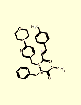 COC(=O)[C@H](Cc1ccccc1)N(Cc1ccc(N2CCOCC2)nc1)C(=O)/C=C/c1ccc(C)cc1